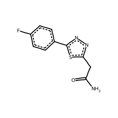 NC(=O)Cc1nnc(-c2ccc(F)cc2)s1